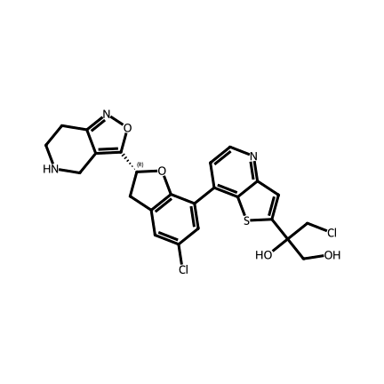 OCC(O)(CCl)c1cc2nccc(-c3cc(Cl)cc4c3O[C@@H](c3onc5c3CNCC5)C4)c2s1